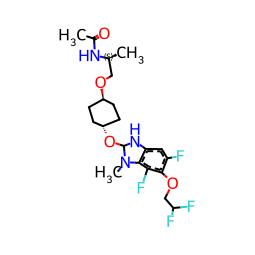 CC(=O)N[C@@H](C)CO[C@H]1CC[C@H](OC2Nc3cc(F)c(OCC(F)F)c(F)c3N2C)CC1